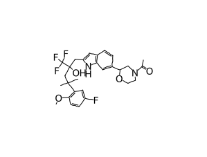 COc1ccc(F)cc1C(C)(C)CC(O)(Cc1cc2ccc(C3CN(C(C)=O)CCO3)cc2[nH]1)C(F)(F)F